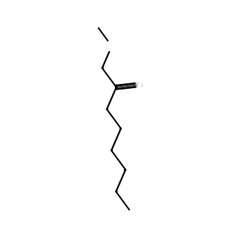 CCCCCCC(=N)COC